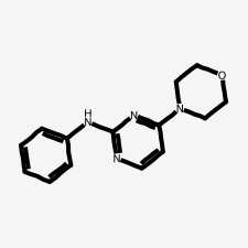 c1ccc(Nc2nccc(N3CCOCC3)n2)cc1